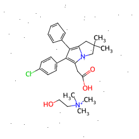 CC1(C)Cc2c(-c3ccccc3)c(-c3ccc(Cl)cc3)c(CC(=O)O)n2C1.C[N+](C)(C)CCO